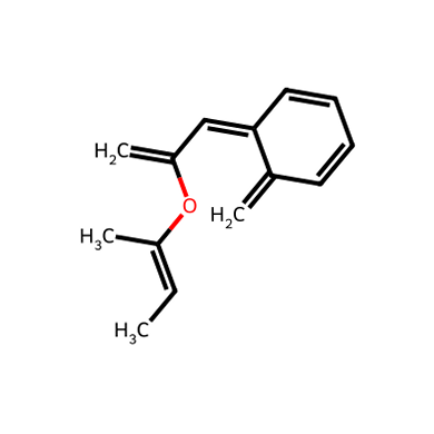 C=C(/C=c1/ccccc1=C)O/C(C)=C/C